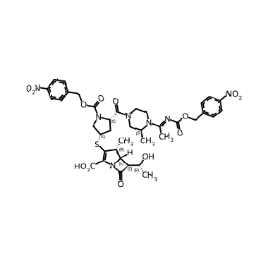 CC(=NC(=O)OCc1ccc([N+](=O)[O-])cc1)N1CCN(C(=O)[C@@H]2C[C@H](SC3=C(C(=O)O)N4C(=O)[C@H]([C@@H](C)O)[C@H]4[C@H]3C)CN2C(=O)OCc2ccc([N+](=O)[O-])cc2)C[C@@H]1C